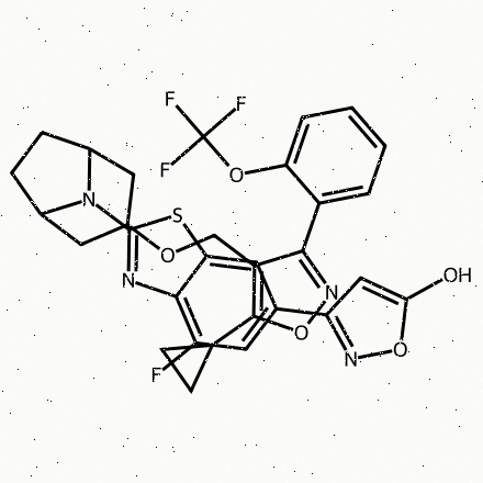 Oc1cc(-c2cc(F)c3nc(N4C5CCC4CC(OCc4c(-c6ccccc6OC(F)(F)F)noc4C4CC4)C5)sc3c2)no1